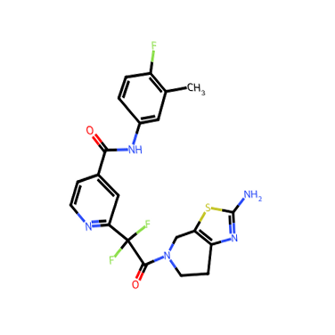 Cc1cc(NC(=O)c2ccnc(C(F)(F)C(=O)N3CCc4nc(N)sc4C3)c2)ccc1F